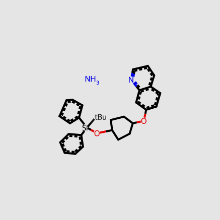 CC(C)(C)[Si](OC1CCC(Oc2ccc3cccnc3c2)CC1)(c1ccccc1)c1ccccc1.N